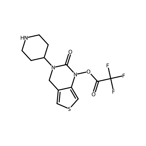 O=C1N(OC(=O)C(F)(F)F)c2cscc2CN1C1CCNCC1